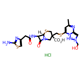 CC1=NC2=CN(CO)NN2C(SCC2(C(=O)O)CS[C@@H]3C(NC(=O)Cc4csc(N)n4)C(=O)N3C2)=C1.Cl